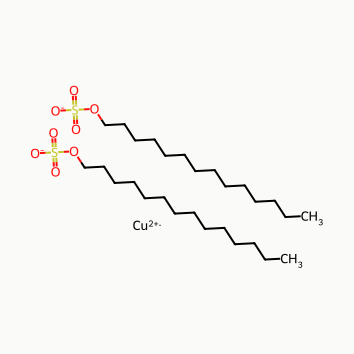 CCCCCCCCCCCCCCOS(=O)(=O)[O-].CCCCCCCCCCCCCCOS(=O)(=O)[O-].[Cu+2]